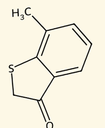 Cc1cccc2c1SCC2=O